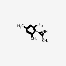 Cc1cc(C)c([C@@H]2N[C@H]2C)c(C)c1